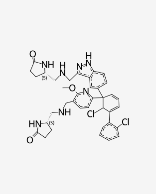 COc1nc(C2(c3ccc4[nH]nc(CNC[C@@H]5CCC(=O)N5)c4c3)C=CC=C(c3ccccc3Cl)C2Cl)ccc1CNC[C@@H]1CCC(=O)N1